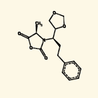 C[C@@H]1C(=O)OC(=O)N1[C@H](CCc1ccccc1)C1COCO1